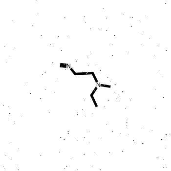 C=NCCN(C)CC